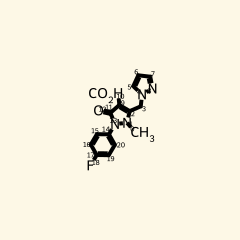 Cn1c(Cn2cccn2)c(C(=O)O)c(=O)n1-c1ccc(F)cc1